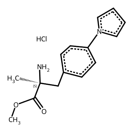 COC(=O)[C@@](C)(N)Cc1ccc(-n2cccc2)cc1.Cl